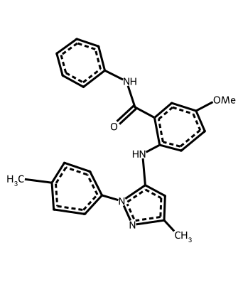 COc1ccc(Nc2cc(C)nn2-c2ccc(C)cc2)c(C(=O)Nc2ccccc2)c1